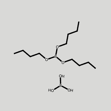 CCCCOB(OCCCC)OCCCC.OB(O)O